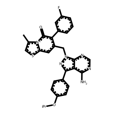 Cc1csc2cc(Cn3nc(-c4ccc(OC(C)C)cc4)c4c(N)ncnc43)c(-c3cccc(F)c3)c(=O)n12